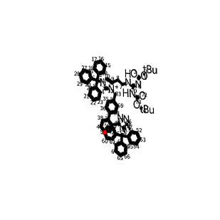 CC(C)(C)OC(=O)/N=C(\NCCc1cn(C(c2ccccc2)(c2ccccc2)c2ccccc2)c[n+]1Cc1ccc(-c2ccccc2-c2nnnn2C(c2ccccc2)(c2ccccc2)c2ccccc2)cc1)NC(=O)OC(C)(C)C